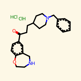 Cl.Cl.O=C(CCC1CCN(Cc2ccccc2)CC1)c1ccc2c(c1)CNCCO2